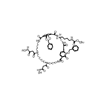 CC(C)(C)OC(=O)NCCCC[C@H]1CNC(=O)c2ccc(c(=O)n2OCc2ccccc2)C(=O)NCCCN(C(=O)CC(=O)NO)CCCCN(C(=O)CC(=O)NO)CCCNC(=O)c2ccc(n(OCc3ccccc3)c2=O)C(=O)N1